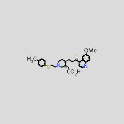 COc1ccc2nccc([C@@H](F)CC[C@@H]3CCN(CCSc4ccc(C)cc4)C[C@@H]3CC(=O)O)c2c1